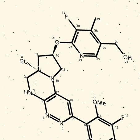 CC[C@@]12CNc3nnc(-c4cccc(F)c4OC)cc3N1C[C@H](Oc1ncc(CO)c(C)c1F)C2